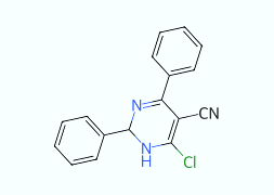 N#CC1=C(Cl)NC(c2ccccc2)N=C1c1ccccc1